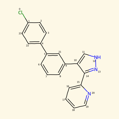 Clc1ccc(-c2cccc(-c3c[nH]nc3-c3ccccn3)c2)cc1